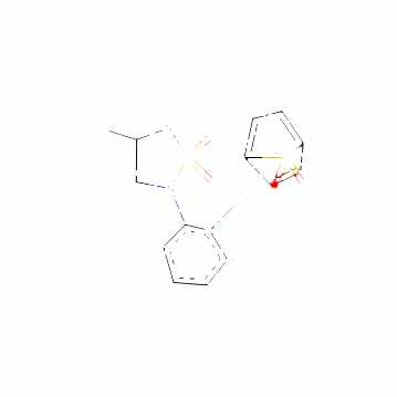 O=CC1CN(c2ccccc2O)S(=O)(=O)N1.O=S1(=O)C2=CC=C1C=C2